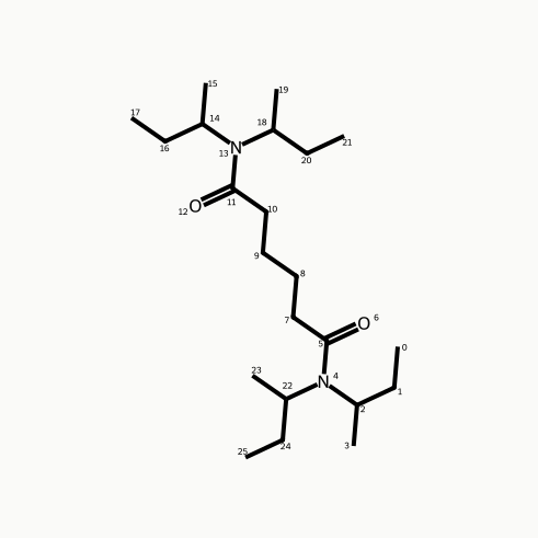 CCC(C)N(C(=O)CCCCC(=O)N(C(C)CC)C(C)CC)C(C)CC